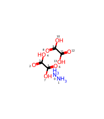 N.N.O=C(O)C(=O)O.O=C(O)C(=O)O